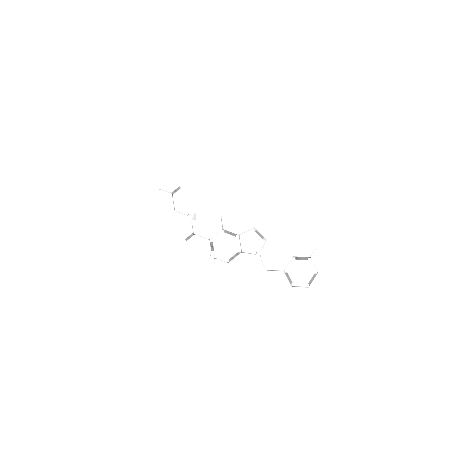 O=C(O)CNC(=O)c1ncc2c(ccn2Cc2cccc(F)c2)c1O